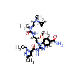 CCn1nc(C)cc1C(=O)Nc1nc2cc(C(N)=O)cc(OC)c2n1CCCNC(=O)N(C)CCN(C)C1CC1